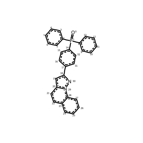 O=P(c1ccccc1)(c1ccccc1)c1ccc(-c2cc3ccc4ccccc4n3n2)cc1